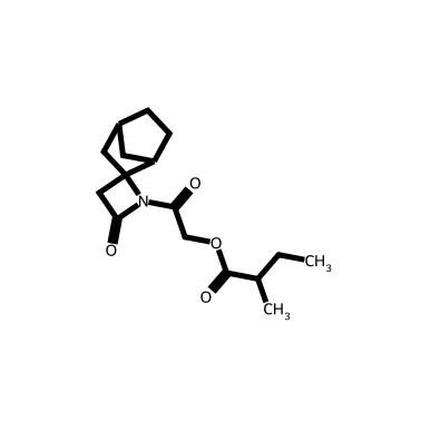 CCC(C)C(=O)OCC(=O)N1C(=O)CC12CC1CCC2C1